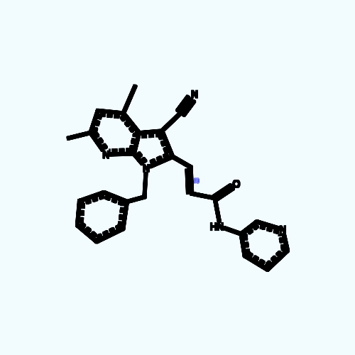 Cc1cc(C)c2c(C#N)c(/C=C/C(=O)Nc3cccnc3)n(Cc3ccccc3)c2n1